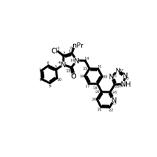 CCCc1c(Cl)n(-c2ccccc2)c(=O)n1Cc1ccc(-c2cccnc2-c2nnn[nH]2)cc1